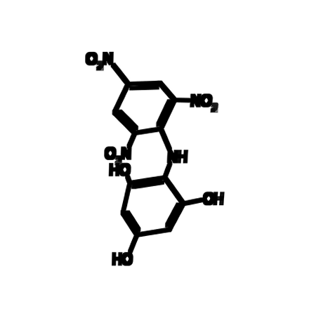 O=[N+]([O-])c1cc([N+](=O)[O-])c(Nc2c(O)cc(O)cc2O)c([N+](=O)[O-])c1